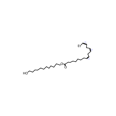 CC/C=C\C/C=C\C/C=C\CCCCCCCC(=O)OCCCCCCCCCCCCO